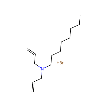 Br.C=CCN(CC=C)CCCCCCCC